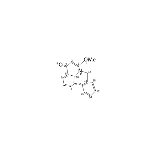 COc1cc(=O)c2ccccc2n1Cc1ccccc1